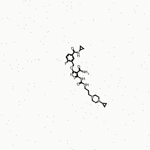 NC(=O)c1c(OCc2cc(C(=O)NC3CC3)ccc2F)nsc1NC(=O)NCCCN1CCN(C2CC2)CC1